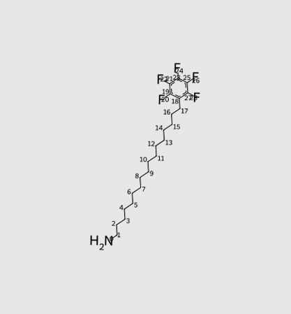 NCCCCCCCCCCCCCCCCCc1c(F)c(F)c(F)c(F)c1F